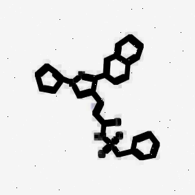 O=C(/C=C/c1cn(-c2ccccc2)nc1-c1ccc2ccccc2c1)NS(=O)(=O)Cc1ccccc1